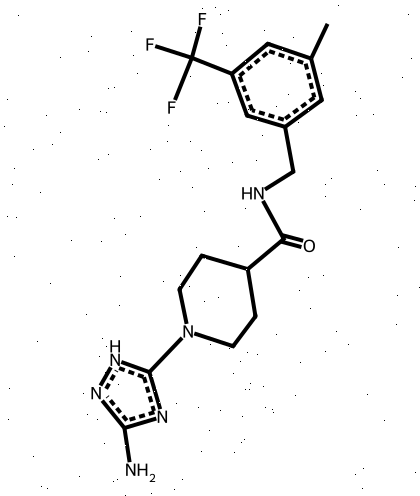 Cc1cc(CNC(=O)C2CCN(c3nc(N)n[nH]3)CC2)cc(C(F)(F)F)c1